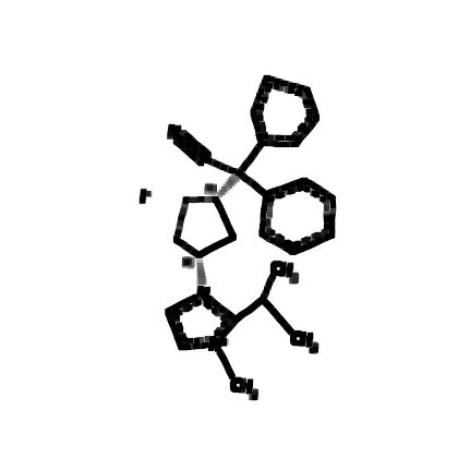 CC(C)c1n([C@@H]2CC[C@H](C(C#N)(c3ccccc3)c3ccccc3)C2)cc[n+]1C.[I-]